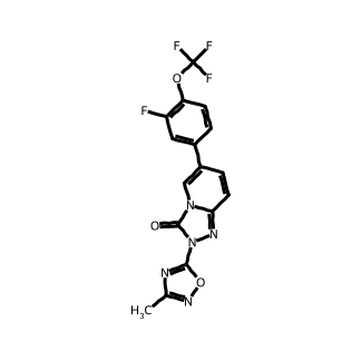 Cc1noc(-n2nc3ccc(-c4ccc(OC(F)(F)F)c(F)c4)cn3c2=O)n1